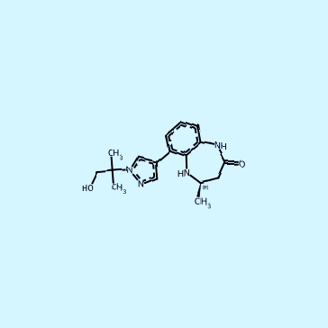 C[C@@H]1CC(=O)Nc2cccc(-c3cnn(C(C)(C)CO)c3)c2N1